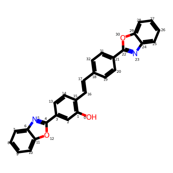 Oc1cc(-c2nc3ccccc3o2)ccc1C=Cc1ccc(-c2nc3ccccc3o2)cc1